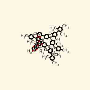 Cc1cc(C)c(-c2cc3c4c(c2)Oc2cc(-c5ccccc5)ccc2B4c2cc4c(cc2N3)N(c2c(C)cc(C)cc2C)c2cc(-c3c(C)cc(C)cc3C)cc3c2B4c2cc4c(cc2O3)N(c2c(C)cc(C)cc2C)c2cc(-c3c(C)cc(C)cc3C)cc3c2B4c2ccc(-c4ccccc4)cc2O3)c(C)c1